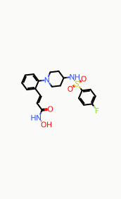 O=C(C=Cc1ccccc1N1CCC(NS(=O)(=O)c2ccc(F)cc2)CC1)NO